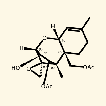 CC(=O)OC[C@]12CCC(C)=C[C@H]1O[C@@H]1[C@H](O)C(OC(C)=O)[C@@]2(C)[C@]12CO2